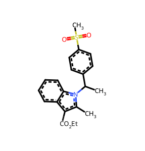 CCOC(=O)c1c(C)n(C(C)c2ccc(S(C)(=O)=O)cc2)c2ccccc12